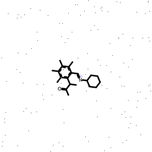 CC(=O)C(C)c1c(C)c(C)c(C)c(C)c1/C=N/C1CCCCC1